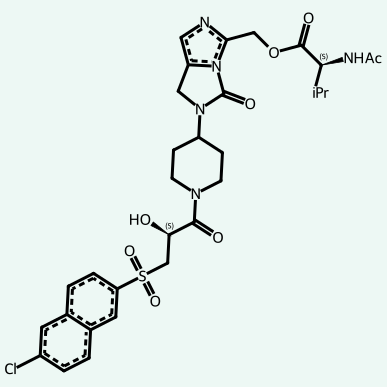 CC(=O)N[C@H](C(=O)OCc1ncc2n1C(=O)N(C1CCN(C(=O)[C@H](O)CS(=O)(=O)c3ccc4cc(Cl)ccc4c3)CC1)C2)C(C)C